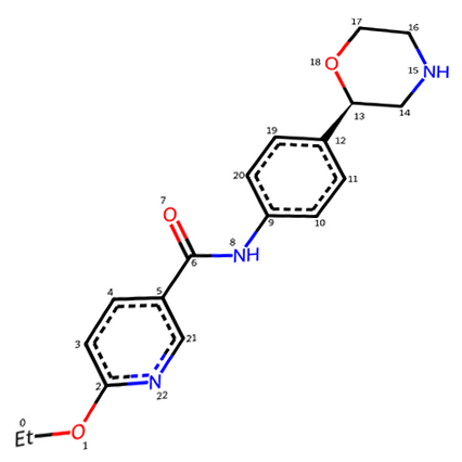 CCOc1ccc(C(=O)Nc2ccc([C@@H]3CNCCO3)cc2)cn1